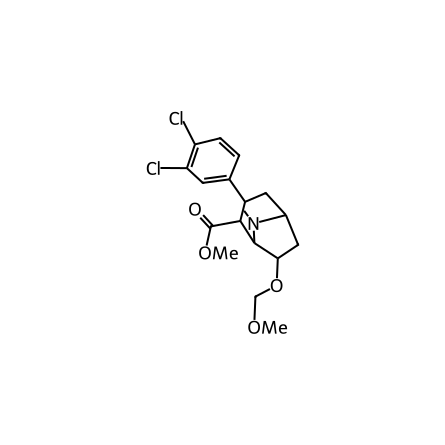 COCOC1CC2CC(c3ccc(Cl)c(Cl)c3)C(C(=O)OC)C1N2C